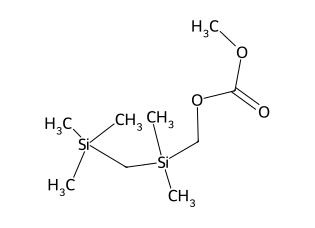 COC(=O)OC[Si](C)(C)C[Si](C)(C)C